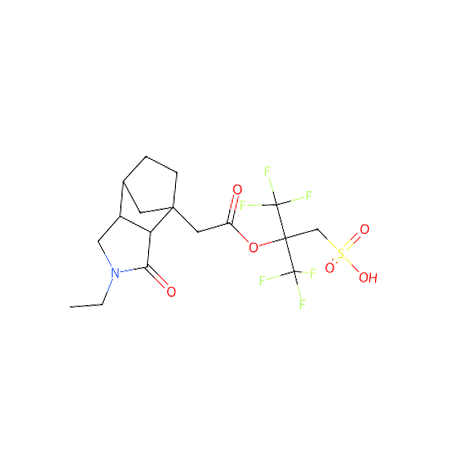 CCN1CC2C3CCC(CC(=O)OC(CS(=O)(=O)O)(C(F)(F)F)C(F)(F)F)(C3)C2C1=O